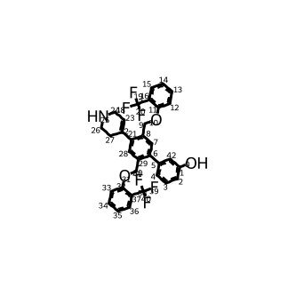 Oc1cccc(-c2cc(COc3ccccc3C(F)(F)F)c(C3=CCNCC3)cc2COc2ccccc2C(F)(F)F)c1